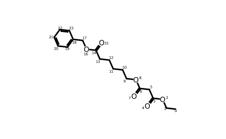 CCOC(=O)CC(=O)OCCCCCC(=O)OCc1ccccc1